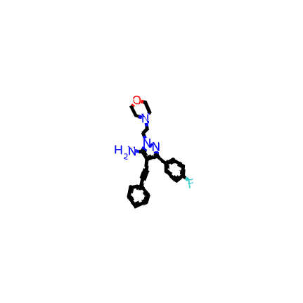 Nc1c(C#Cc2ccccc2)c(-c2ccc(F)cc2)nn1CCN1CCOCC1